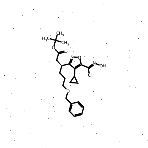 CC(C)(C)OC(=O)C[C@H](CCCOCc1ccccc1)c1noc(/C(Cl)=N/O)c1C1CC1